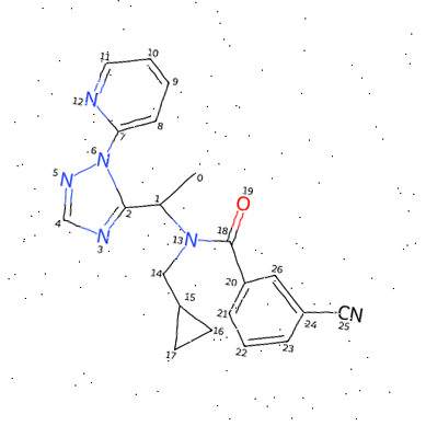 CC(c1ncnn1-c1ccccn1)N(CC1CC1)C(=O)c1cccc(C#N)c1